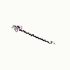 CCCCCCCCCCCCCCCCCCCCCCCCCCN(C(C)=O)C(C)=O